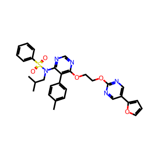 Cc1ccc(-c2c(OCCOc3ncc(-c4ccco4)cn3)ncnc2N(CC(C)C)S(=O)(=O)c2ccccc2)cc1